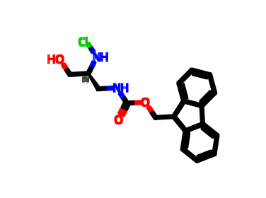 O=C(NC[C@@H](CO)NCl)OCC1c2ccccc2-c2ccccc21